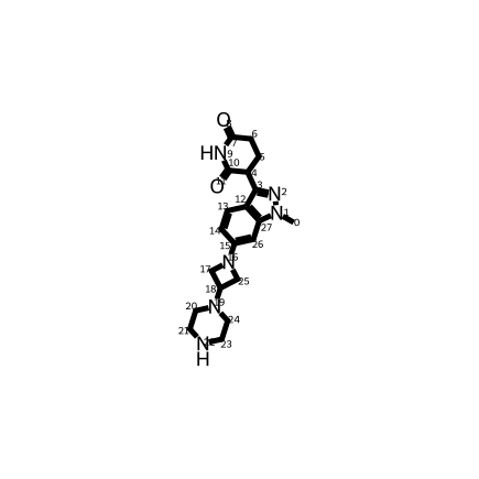 Cn1nc(C2CCC(=O)NC2=O)c2ccc(N3CC(N4CCNCC4)C3)cc21